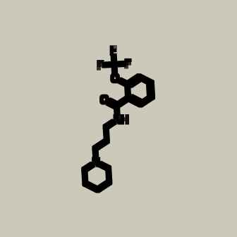 O=C(NCCCN1CCCCC1)c1ccccc1OC(F)(F)F